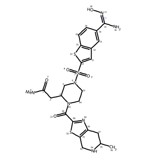 CNC(=O)CC1CN(S(=O)(=O)c2cc3cc(/C(N)=N\O)ccc3s2)CCN1C(=O)c1nc2c(s1)CNC(C)C2